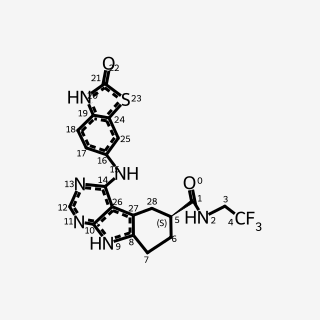 O=C(NCC(F)(F)F)[C@H]1CCc2[nH]c3ncnc(Nc4ccc5[nH]c(=O)sc5c4)c3c2C1